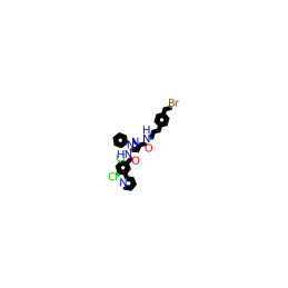 O=C(NCCCc1ccc(CCBr)cc1)c1cc(NC(=O)c2cc(-c3ccccn3)c(Cl)cc2Cl)n(-c2ccccc2)n1